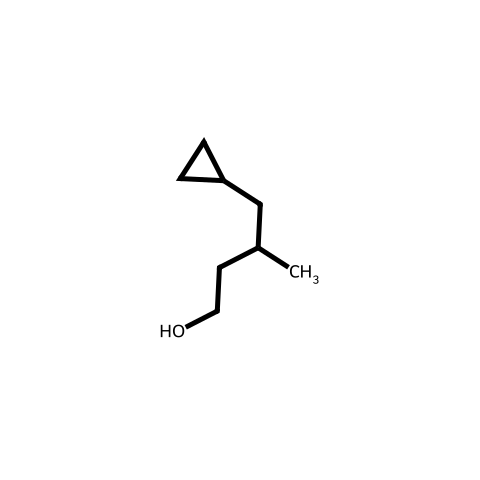 CC(CCO)CC1CC1